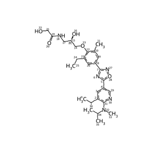 CCc1cc(-c2nc(-c3cc(C)c(OC[C@H](O)CNC(=O)CO)c(CC)c3)no2)cnc1N(C)C(C)C